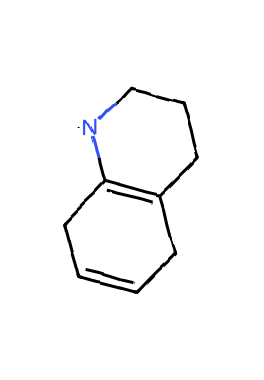 C1=CCC2=C(C1)CCC[N]2